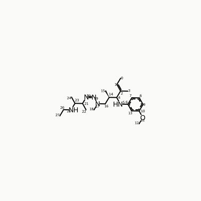 C/C=C(\C)C(Nc1cccc(OC)c1)[C@H](C)CN(C)/N=N\C(C)C(C)NCC